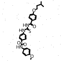 COc1ccc(NS(=O)(=O)c2ccc(NC(=S)NC(=O)c3ccc(OCCC(C)C)cc3)cc2)cc1